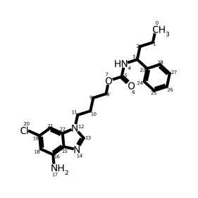 CCCC(NC(=O)OCCCCn1cnc2c(N)cc(Cl)cc21)c1ccccc1